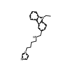 CCn1c2ccccc2c2cc(CNCCCCn3ccnc3)ccc21